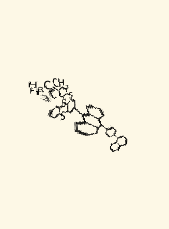 CC(C)(C)c1ccc2c(c1)B1c3ccccc3Sc3cc(-c4c5ccccc5c(-c5ccc(-c6cccc7ccccc67)cc5)c5ccccc45)cc(c31)S2